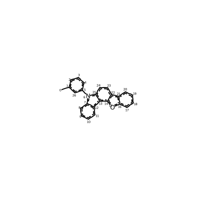 Cc1cccc(-n2c3ccccc3c3c4oc5ccccc5c4ccc32)c1